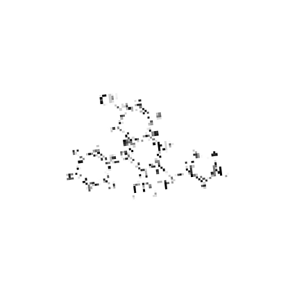 CCOC(=O)c1c(Cn2ccnc2)nc2ccc(Cl)cc2c1-c1ccccc1